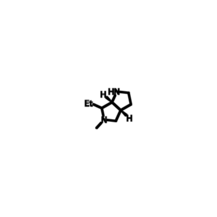 CCC1[C@@H]2NCC[C@@H]2CN1C